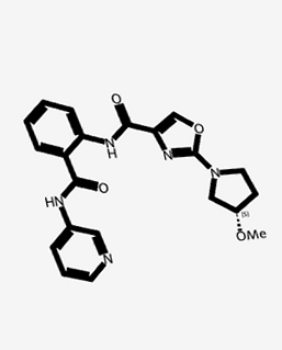 CO[C@H]1CCN(c2nc(C(=O)Nc3ccccc3C(=O)Nc3cccnc3)co2)C1